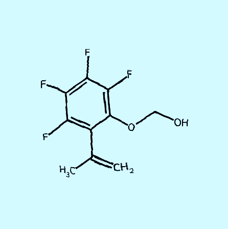 C=C(C)c1c(F)c(F)c(F)c(F)c1OCO